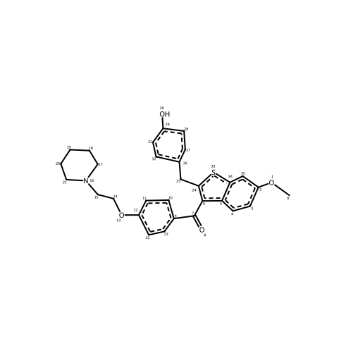 COc1ccc2c(C(=O)c3ccc(OCCN4CCCCC4)cc3)c(Cc3ccc(O)cc3)sc2c1